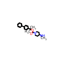 CNC1CCN(C(=O)OC(C)(C)c2ccc(-c3ccccc3)cc2)CC1